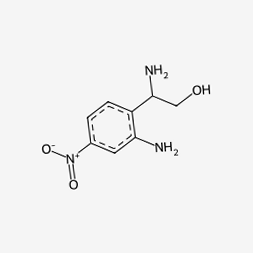 Nc1cc([N+](=O)[O-])ccc1C(N)CO